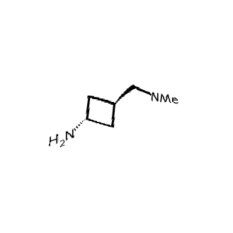 CNC[C@H]1C[C@H](N)C1